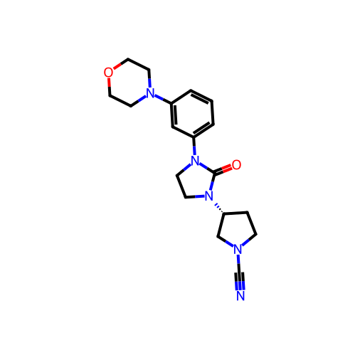 N#CN1CC[C@@H](N2CCN(c3cccc(N4CCOCC4)c3)C2=O)C1